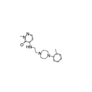 Cc1ccccc1N1CCN(CCNc2ccnn(C)c2=O)CC1